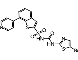 O=C(Nc1ncc(Br)s1)NS(=O)(=O)c1cc2cccc(-c3ccncc3)c2s1